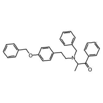 CC(C(=O)c1cc[c]cc1)N(CCc1ccc(OCc2ccccc2)cc1)Cc1ccccc1